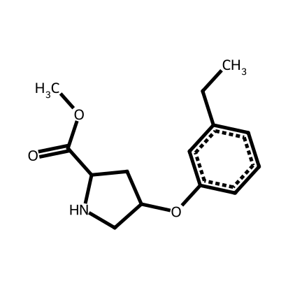 CCc1cccc(OC2CNC(C(=O)OC)C2)c1